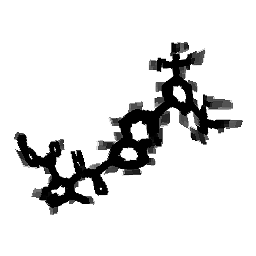 COC(=O)c1scc(C)c1NC(=O)c1ccc2nc(-c3cc(C(F)(F)F)cc(C(F)(F)F)c3)ccc2c1